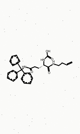 C=CCCNC(=O)[C@H](CCC(=O)NC(c1ccccc1)(c1ccccc1)c1ccccc1)NC(=O)O